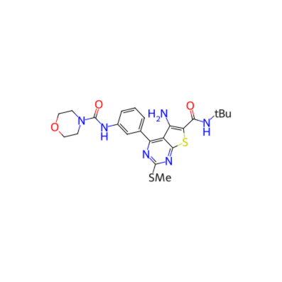 CSc1nc(-c2cccc(NC(=O)N3CCOCC3)c2)c2c(N)c(C(=O)NC(C)(C)C)sc2n1